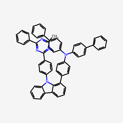 Cc1nc(-c2ccccc2)nc(-c2ccc(-n3c4ccccc4c4cccc(-c5ccc(N(c6ccc(-c7ccccc7)cc6)c6ccc(-c7ccccc7)cc6)cc5)c43)cc2)n1